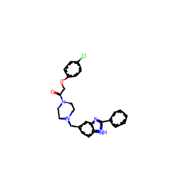 O=C(COc1ccc(Cl)cc1)N1CCN(Cc2ccc3[nH]c(-c4ccccc4)nc3c2)CC1